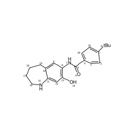 CC(C)(C)c1ccc(C(=O)Nc2cc3c(cc2O)NCCCC3)cc1